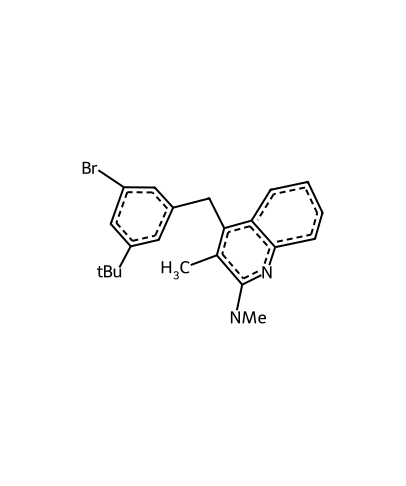 CNc1nc2ccccc2c(Cc2cc(Br)cc(C(C)(C)C)c2)c1C